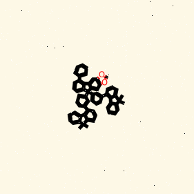 CC1(C)c2ccccc2-c2c(-c3cccc(C4(c5cccc(-c6cccc7c6-c6ccccc6C7(C)C)c5)c5cc6c(cc5-c5c(-c7ccccc7)cccc54)OCO6)c3)cccc21